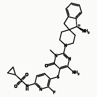 Cn1c(N2CCC3(CC2)Cc2ccccc2[C@H]3N)nc(N)c(Sc2ccc(NS(=O)(=O)C3CC3)nc2F)c1=O